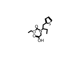 CCOC(=O)N(CC(=O)O)C(CC)Cc1cccs1